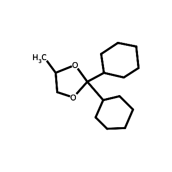 CC1COC(C2CCCCC2)(C2CCCCC2)O1